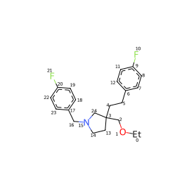 CCOCC1(CCc2ccc(F)cc2)CCN(Cc2ccc(F)cc2)C1